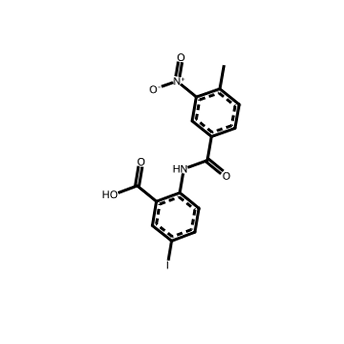 Cc1ccc(C(=O)Nc2ccc(I)cc2C(=O)O)cc1[N+](=O)[O-]